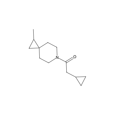 CC1CC12CCN(C(=O)CC1CC1)CC2